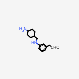 NC1CCC(CNc2cccc(CC=O)c2)CC1